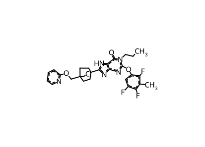 CCCn1c(Oc2cc(F)c(F)c(C)c2F)nc2nc(C34CCC(COc5ccccn5)(CC3)CC4)[nH]c2c1=O